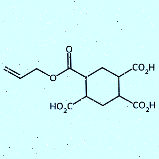 C=CCOC(=O)C1CC(C(=O)O)C(C(=O)O)CC1C(=O)O